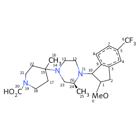 COC1Cc2cc(C(F)(F)F)ccc2C1N1CCN(C2(C)CCN(C(=O)O)CC2)C[C@@H]1C